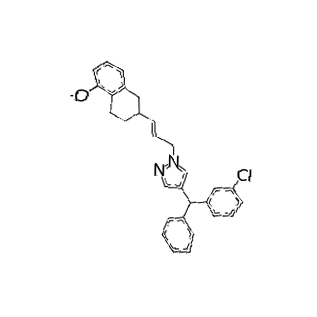 [O]c1cccc2c1CCC(C=CCn1cc(C(c3ccccc3)c3cccc(Cl)c3)cn1)C2